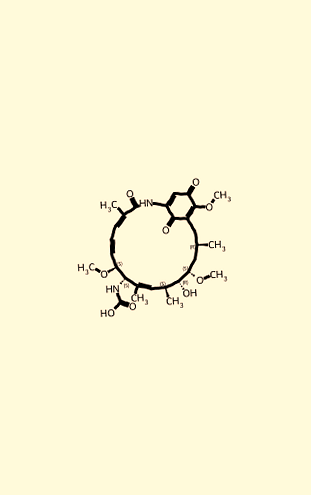 COC1=C2C[C@@H](C)C[C@H](OC)[C@H](O)[C@@H](C)C=C(C)[C@H](NC(=O)O)[C@@H](OC)C=CC=C(C)C(=O)NC(=CC1=O)C2=O